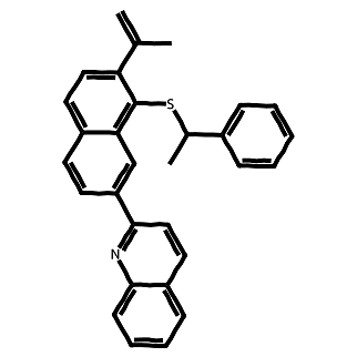 C=C(C)c1ccc2ccc(-c3ccc4ccccc4n3)cc2c1SC(C)c1ccccc1